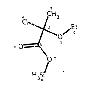 CCOC(C)(Cl)C(=O)O[SiH3]